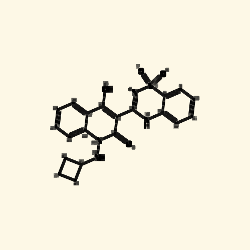 O=c1c(C2=NS(=O)(=O)c3c[c]ccc3N2)c(O)c2ccccc2n1NC1CCC1